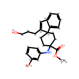 COC(=O)C1(Nc2cccc(Br)c2)CCC2(CC1)C(CCCO)=Cc1ccccc12